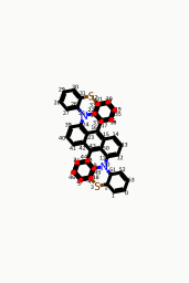 C1=CC2Sc3ccccc3N(c3cccc4c(-c5ccccc5)c5c(N6c7ccccc7Sc7ccccc76)cccc5c(-c5ccccc5)c34)C2C=C1